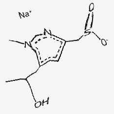 CC(O)c1cc(S(=O)[O-])nn1C.[Na+]